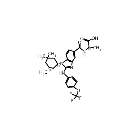 C[C@H]1C[C@@H](n2c(Nc3ccc(OC(F)(F)F)cc3)nc3cc(C(=O)N[C@H](C)C(=O)O)ccc32)CC(C)(C)C1